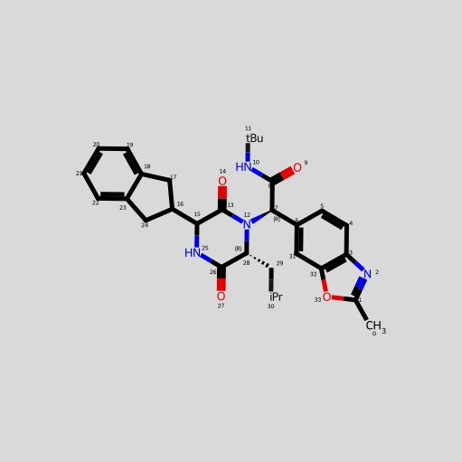 Cc1nc2ccc([C@H](C(=O)NC(C)(C)C)N3C(=O)C(C4Cc5ccccc5C4)NC(=O)[C@H]3CC(C)C)cc2o1